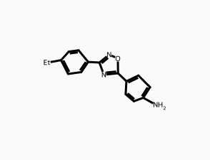 CCc1ccc(-c2noc(-c3ccc(N)cc3)n2)cc1